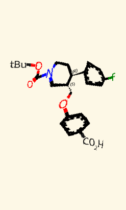 CC(C)(C)OC(=O)N1CC[C@@H](c2ccc(F)cc2)[C@H](COc2ccc(C(=O)O)cc2)C1